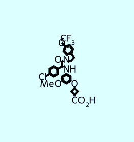 COc1cc(NC(C(=O)N2CCc3ccc(OC(F)(F)F)cc32)c2ccc(Cl)cc2)cc(OC2CC(C(=O)O)C2)c1